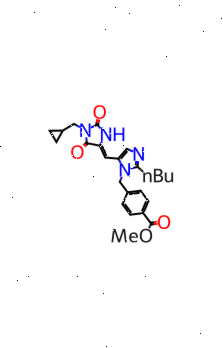 CCCCc1ncc(/C=C2\NC(=O)N(CC3CC3)C2=O)n1Cc1ccc(C(=O)OC)cc1